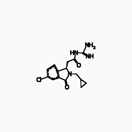 N=C(N)NC(=O)C[C@@H]1c2ccc(Cl)cc2C(=O)N1CC1CC1